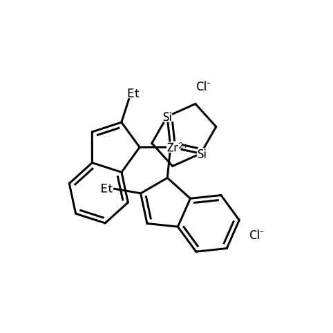 CCC1=Cc2ccccc2[CH]1[Zr+2]1([CH]2C(CC)=Cc3ccccc32)=[Si]2CC[Si]=1CC2.[Cl-].[Cl-]